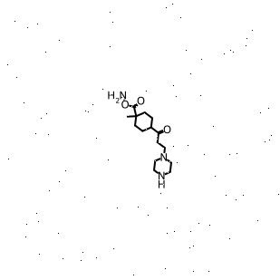 CC1(C(=O)ON)CCC(C(=O)CCN2CCNCC2)CC1